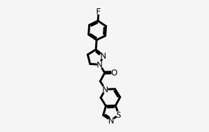 O=C(CN1C=Cc2sncc2C1)N1CCC(c2ccc(F)cc2)=N1